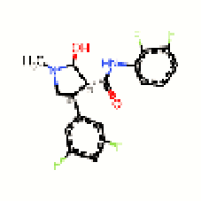 CN1C[C@H](c2cc(F)cc(F)c2)[C@@H](C(=O)Nc2cccc(F)c2F)C1O